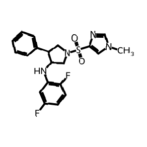 Cn1cnc(S(=O)(=O)N2CC(Nc3cc(F)ccc3F)C(c3ccccc3)C2)c1